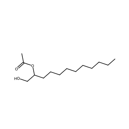 CCCCCCCCCCC(CO)OC(C)=O